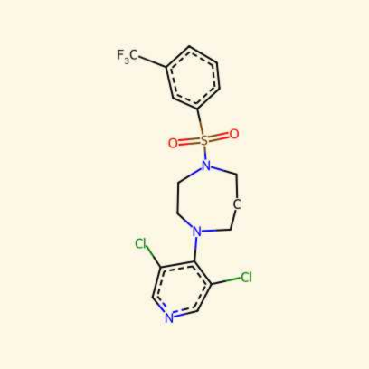 O=S(=O)(c1cccc(C(F)(F)F)c1)N1CCCN(c2c(Cl)cncc2Cl)CC1